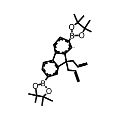 C=CCC1(CC=C)c2[c]c(B3OC(C)(C)C(C)(C)O3)ccc2-c2ccc(B3OC(C)(C)C(C)(C)O3)cc21